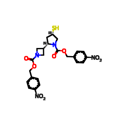 O=C(OCc1ccc([N+](=O)[O-])cc1)N1CC([C@@H]2C[C@H](S)CN2C(=O)OCc2ccc([N+](=O)[O-])cc2)C1